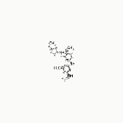 CCN1CCC(NCc2cc(Nc3nc(C)cc(NC)n3)ccc2OC)C1